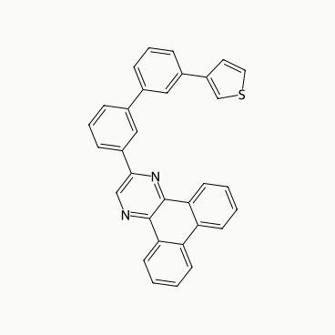 c1cc(-c2ccsc2)cc(-c2cccc(-c3cnc4c5ccccc5c5ccccc5c4n3)c2)c1